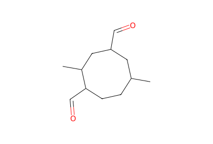 CC1CCC(C=O)C(C)CC(C=O)C1